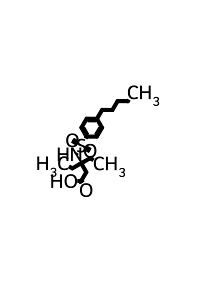 CCCCCc1ccc(S(=O)(=O)NC(CC)(CC)CC(=O)O)cc1